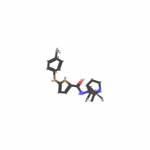 C[C@H]1[C@H](NC(=O)c2ccc(Sc3ccc(C(F)(F)F)cc3)s2)C2CCN1CC2